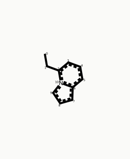 CCc1cccc2cccn12